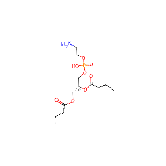 CCCC(=O)OC[C@H](COP(=O)(O)OCCN)OC(=O)CCC